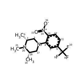 C[C@@H]1CN(c2cc(C(F)(F)F)ccc2[N+](=O)[O-])C[C@H](C)N1C